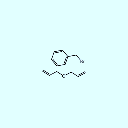 BrCc1ccccc1.C=CCOCC=C